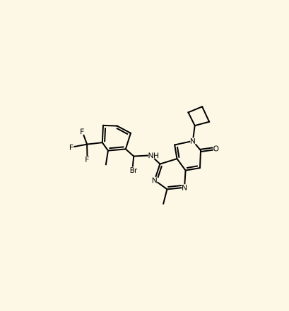 Cc1nc(NC(Br)c2cccc(C(F)(F)F)c2C)c2cn(C3CCC3)c(=O)cc2n1